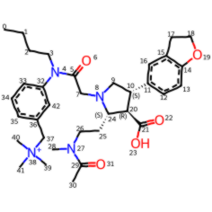 CCCCN(C(=O)CN1C[C@H](c2ccc3c(c2)CCO3)[C@@H](C(=O)O)[C@@H]1CCN(C)C(C)=O)c1cccc(C[N+](C)(C)C)c1